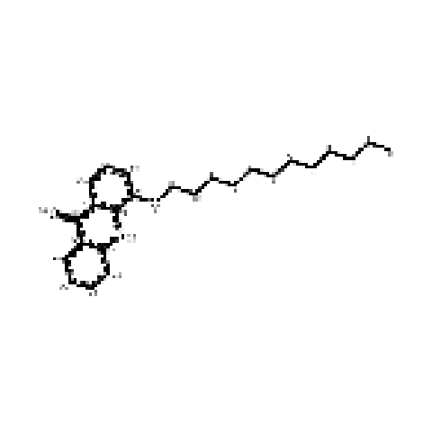 CCCCCCCCCCCCOc1cccc2c(=O)c3ccccc3sc12